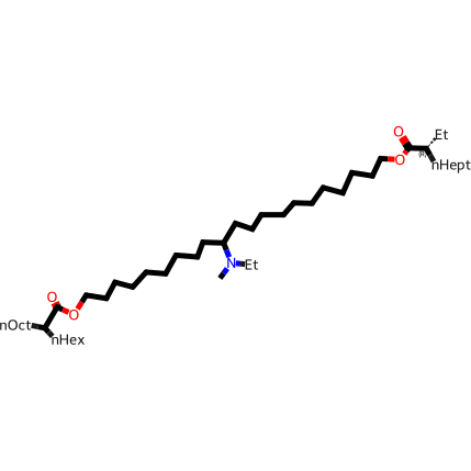 CCCCCCCCC(CCCCCC)C(=O)OCCCCCCCCCC(CCCCCCCCCCCOC(=O)[C@H](CC)CCCCCCC)N(C)CC